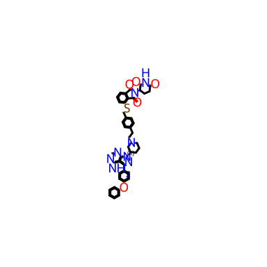 Nc1ncnc2c1c(-c1ccc(Oc3ccccc3)cc1)nn2[C@@H]1CCCN(CCc2ccc(CSc3cccc4c3C(=O)N(C3CCC(=O)NC3=O)C4=O)cc2)C1